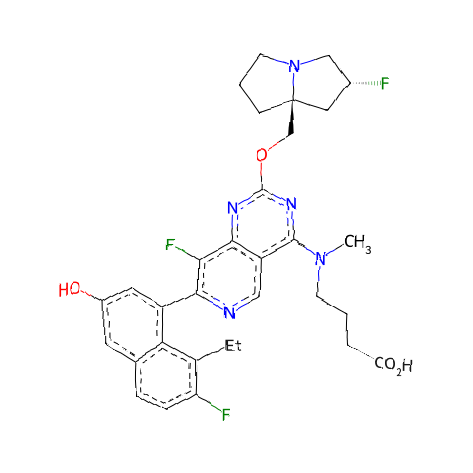 CCc1c(F)ccc2cc(O)cc(-c3ncc4c(N(C)CCCC(=O)O)nc(OC[C@@]56CCCN5C[C@H](F)C6)nc4c3F)c12